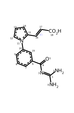 NC(N)=NC(=O)c1cccc(-n2cccc2/C=C/C(=O)O)c1